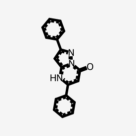 O=c1cc(-c2ccccc2)[nH]c2cc(-c3ccccc3)nn12